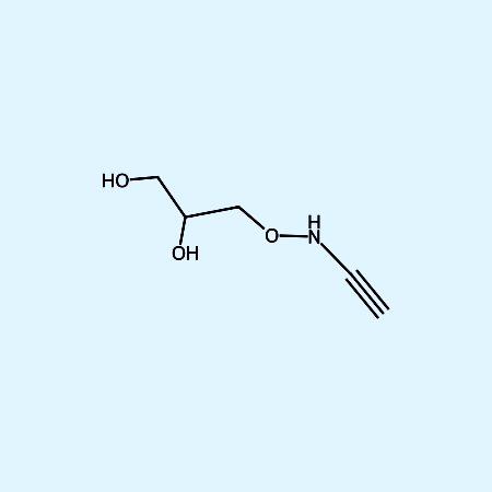 C#CNOCC(O)CO